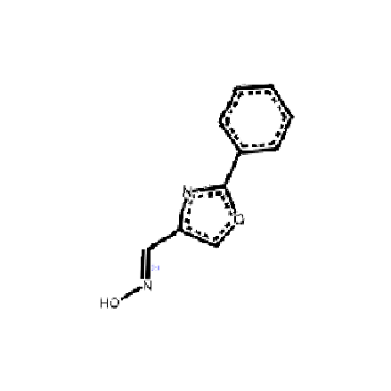 O/N=C/c1coc(-c2ccccc2)n1